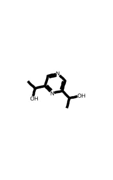 CC(O)c1cncc(C(C)O)n1